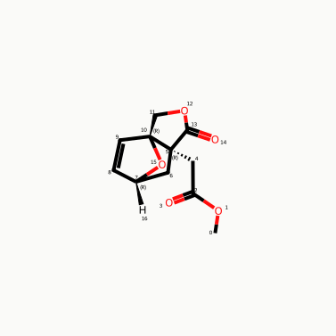 COC(=O)C[C@]12C[C@@H]3C=C[C@@]1(COC2=O)O3